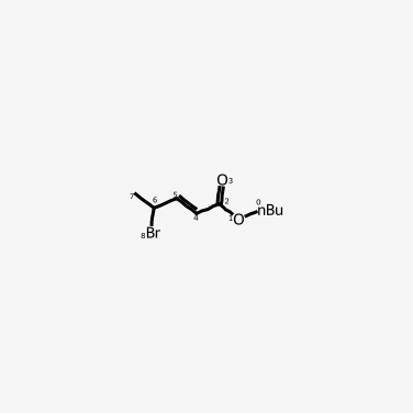 CCCCOC(=O)C=CC(C)Br